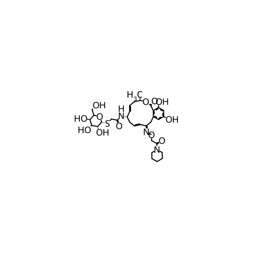 C[C@@H]1C/C=C/[C@@H](NC(=O)CS[C@H]2OC(CO)[C@H](O)C(O)[C@H]2O)C/C=C/C(=NOCC(=O)N2CCCCC2)Cc2cc(O)cc(O)c2C(=O)O1